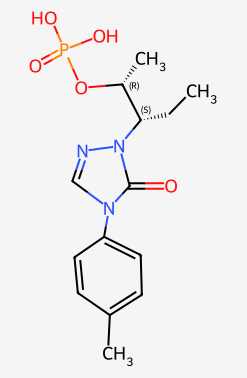 CC[C@@H]([C@@H](C)OP(=O)(O)O)n1ncn(-c2ccc(C)cc2)c1=O